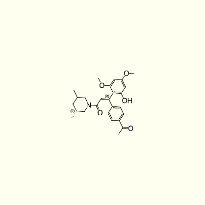 COc1cc(O)c([C@H](CC(=O)N2CC(C)C[C@@H](C)C2)c2ccc(C(C)=O)cc2)c(OC)c1